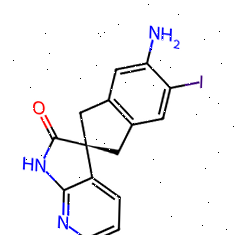 Nc1cc2c(cc1I)C[C@]1(C2)C(=O)Nc2ncccc21